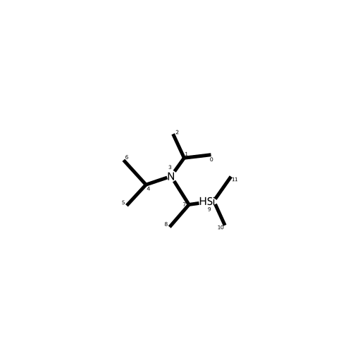 CC(C)N(C(C)C)C(C)[SiH](C)C